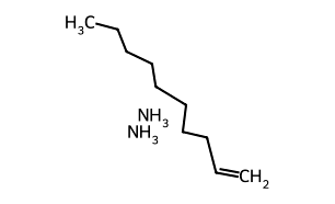 C=CCCCCCCCC.N.N